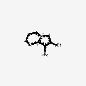 CCc1cn2cccnc2c1CC